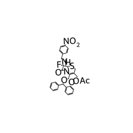 CC(=O)OCC1=C(C(=O)OC(c2ccccc2)c2ccccc2)N2C(=O)[C@](F)(N=Cc3ccc([N+](=O)[O-])cc3)[C@H]2SC1